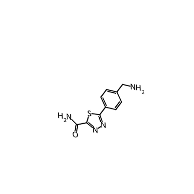 NCc1ccc(-c2nnc(C(N)=O)s2)cc1